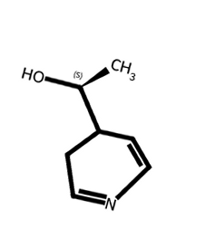 C[C@H](O)C1C=CN=CC1